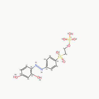 O=S(=O)(O)OCCS(=O)(=O)c1ccc(/N=N/c2ccc(O)cc2O)cc1